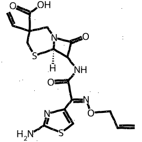 C=CCON=C(C(=O)NC1C(=O)N2CC(C=C)(C(=O)O)CS[C@H]12)c1csc(N)n1